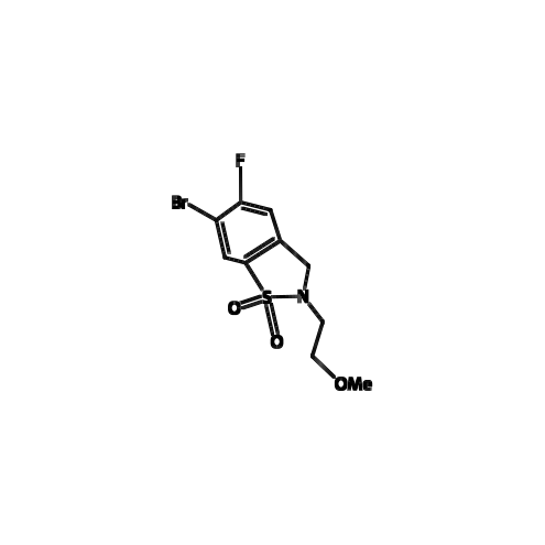 COCCN1Cc2cc(F)c(Br)cc2S1(=O)=O